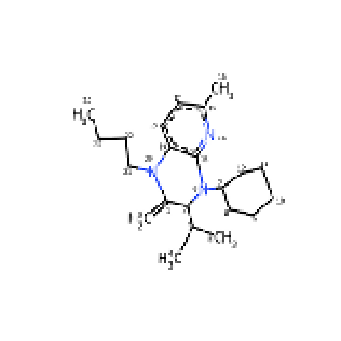 C=C1C(C(C)C)N(C2CCCCC2)c2nc(C)ccc2N1CCCC